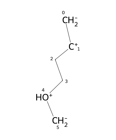 [CH2-][CH+]CC[OH+][CH2-]